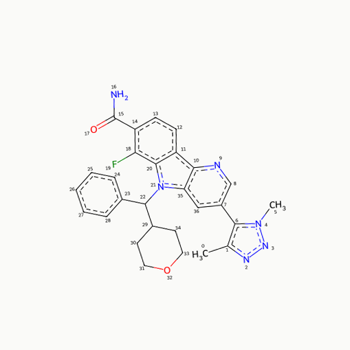 Cc1nnn(C)c1-c1cnc2c3ccc(C(N)=O)c(F)c3n(C(c3ccccc3)C3CCOCC3)c2c1